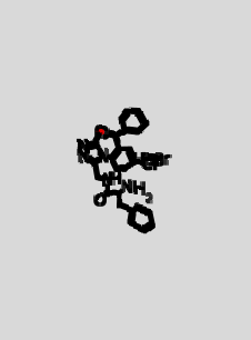 Br.Br.Cc1nnc(CNC(=O)[C@@H](N)Cc2ccccc2)n1-c1ccc(Cl)cc1C(=O)c1ccccc1